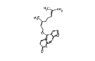 CC(C)=CCCC(C)=CCOc1c2ccoc2cc2oc(=O)ccc12